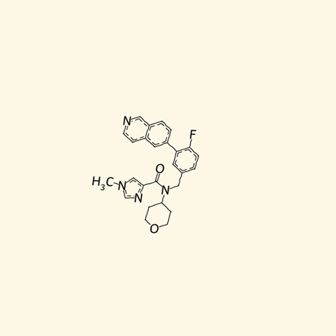 Cn1cnc(C(=O)N(Cc2ccc(F)c(-c3ccc4cnccc4c3)c2)C2CCOCC2)c1